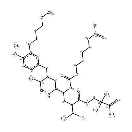 COCCCOc1cc(CC(CC(N)C(CC(C(=O)NCC(C)(C)C(N)=O)C(C)C)OC(=O)OCCCCO[N+](=O)[O-])C(C)C)ccc1OC